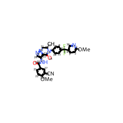 COc1ccc(C(F)(F)c2ccc(N3C(=O)c4c(NC(=O)c5ccc(OC)c(C#N)c5)cnn4C[C@@H]3C)cc2)cn1